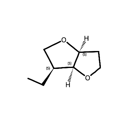 CC[C@H]1CO[C@H]2CCO[C@@H]12